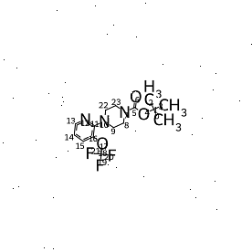 CC(C)(C)OC(=O)N1CCN(c2ncccc2OC(F)(F)F)CC1